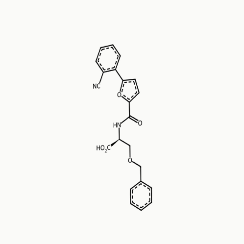 N#Cc1ccccc1-c1ccc(C(=O)N[C@@H](COCc2ccccc2)C(=O)O)o1